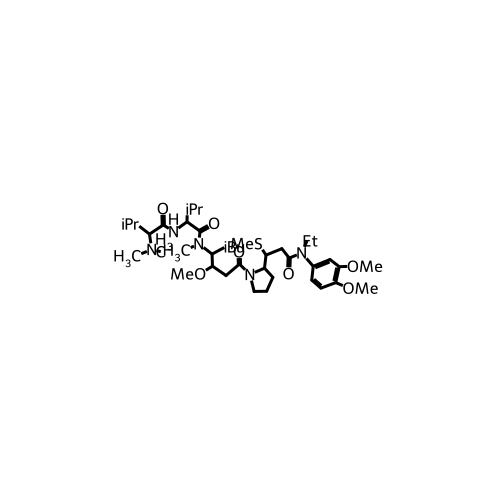 CCC(C)C(C(CC(=O)N1CCCC1C(CC(=O)N(CC)c1ccc(OC)c(OC)c1)SC)OC)N(C)C(=O)C(NC(=O)C(C(C)C)N(C)C)C(C)C